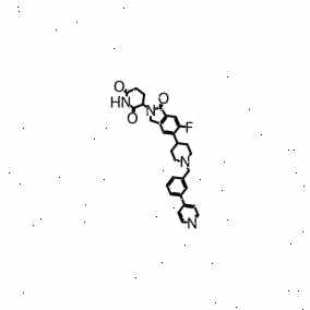 O=C1CCC(N2Cc3cc(C4CCN(Cc5cccc(-c6ccncc6)c5)CC4)c(F)cc3C2=O)C(=O)N1